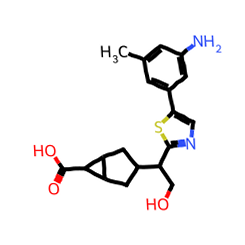 Cc1cc(N)cc(-c2cnc(C(CO)C3CC4C(C3)C4C(=O)O)s2)c1